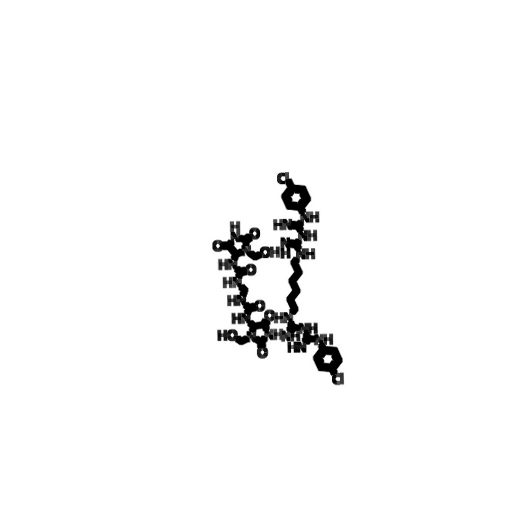 N=C(NCCCCCCNC(=N)NC(=N)Nc1ccc(Cl)cc1)NC(=N)Nc1ccc(Cl)cc1.O=C(NCNC(=O)NC1C(=O)NC(=O)N1CO)NC1C(=O)NC(=O)N1CO